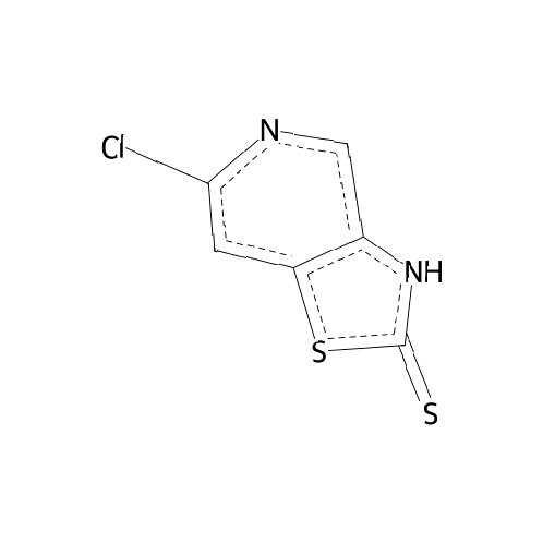 S=c1[nH]c2cnc(Cl)cc2s1